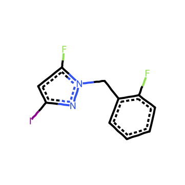 Fc1ccccc1Cn1nc(I)cc1F